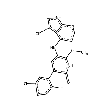 CSc1[nH]c(=O)c(-c2cc(Cl)ccc2F)cc1Nc1ccnc2[nH]cc(Cl)c12